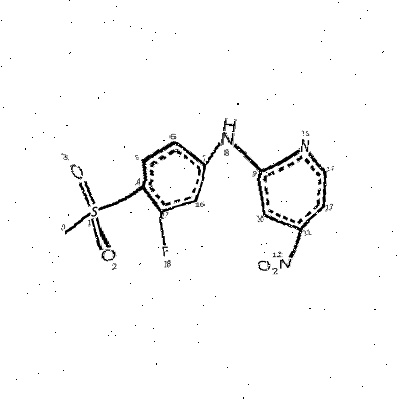 CS(=O)(=O)c1ccc(Nc2cc([N+](=O)[O-])ccn2)cc1F